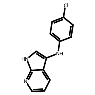 Clc1ccc(Nc2c[nH]c3ncccc23)cc1